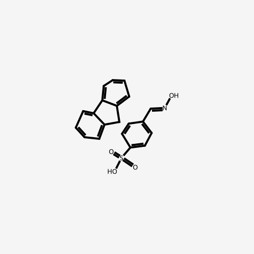 O=S(=O)(O)c1ccc(C=NO)cc1.c1ccc2c(c1)Cc1ccccc1-2